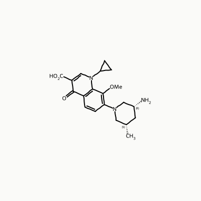 COc1c(N2C[C@@H](C)C[C@@H](N)C2)ccc2c(=O)c(C(=O)O)cn(C3CC3)c12